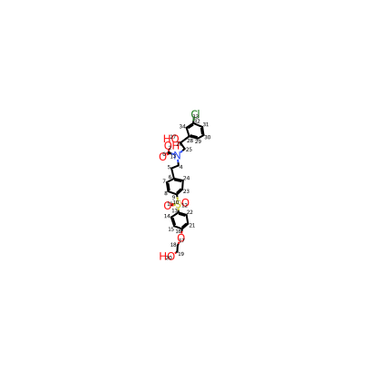 O=C(O)N(CCc1ccc(S(=O)(=O)c2ccc(OCCO)cc2)cc1)CC(O)c1cccc(Cl)c1